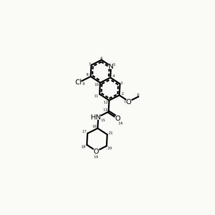 COc1cc2nccc(Cl)c2cc1C(=O)NC1CCOCC1